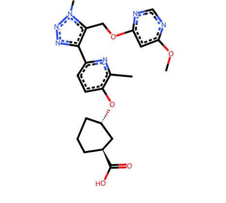 COc1cc(OCc2c(-c3ccc(O[C@H]4CCC[C@H](C(=O)O)C4)c(C)n3)nnn2C)ncn1